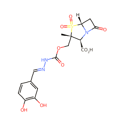 C[C@]1(COC(=O)N/N=C/c2ccc(O)c(O)c2)[C@H](C(=O)O)N2C(=O)C[C@H]2S1(=O)=O